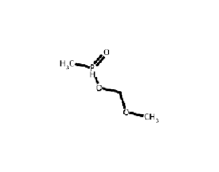 COCO[PH](C)=O